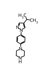 CC(C)c1cnn(-c2ccc(N3CCNCC3)cc2)c1